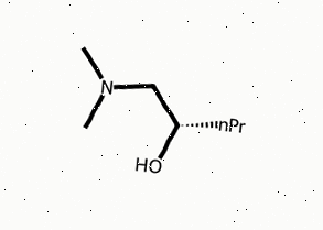 CCC[C@H](O)CN(C)C